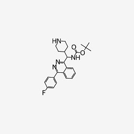 CC(C)(C)OC(=O)NC(c1nnc(-c2ccc(F)cc2)c2ccccc12)C1CCNCC1